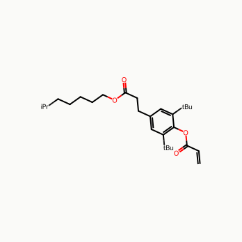 C=CC(=O)Oc1c(C(C)(C)C)cc(CCC(=O)OCCCCCC(C)C)cc1C(C)(C)C